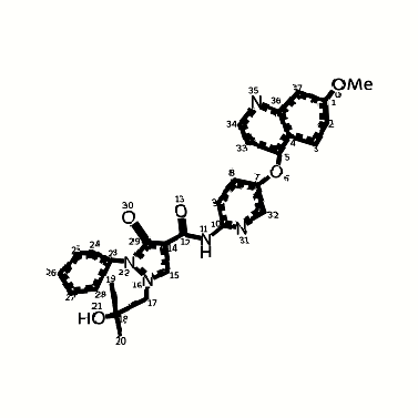 COc1ccc2c(Oc3ccc(NC(=O)c4cn(CC(C)(C)O)n(-c5ccccc5)c4=O)nc3)ccnc2c1